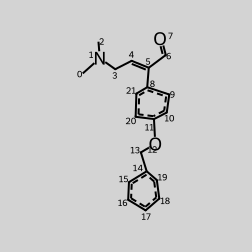 CN(C)C/C=C(/C=O)c1ccc(OCc2ccccc2)cc1